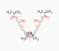 C=C(C)C(=O)OCC(O)COCCC[Si](C)(C)O[Si](C)(C)CCCOCC(O)COC(=O)C(=C)C